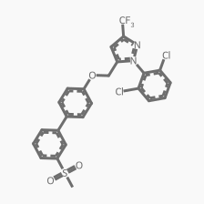 CS(=O)(=O)c1cccc(-c2ccc(OCc3cc(C(F)(F)F)nn3-c3c(Cl)cccc3Cl)cc2)c1